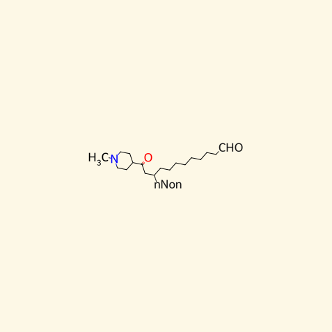 CCCCCCCCCC(CCCCCCCCC=O)CC(=O)C1CCN(C)CC1